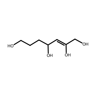 OCCCC(O)/C=C(\O)CO